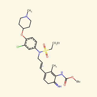 CCOC(=O)CS(=O)(=O)N(C/C=C/C1=CCC(=N)C(NC(=O)OC(C)(C)C)=C1C)c1ccc(OC2CCN(C)CC2)c(Cl)c1